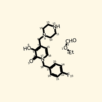 CCOC=O.O=c1c(O)c(CN2CCNCC2)ccn1Cc1ccc(F)cc1